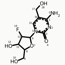 Nc1nc(=O)n(C2OC(CO)C(O)C2F)cc1CO